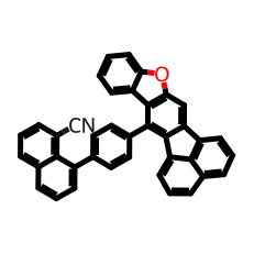 N#Cc1cccc2cccc(-c3ccc(-c4c5c(cc6oc7ccccc7c46)-c4cccc6cccc-5c46)cc3)c12